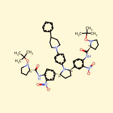 CC(C)(C)ON1CCC[C@H]1C(=O)Nc1ccc([C@H]2CC[C@H](c3ccc(NC(=O)[C@@H]4CCCN4OC(C)(C)C)c([N+](=O)[O-])c3)N2c2ccc(N3CCC(c4ccccc4)CC3)cc2)cc1[N+](=O)[O-]